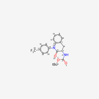 CC(C)(C)OC(=O)NC1Cc2ccccc2N(c2ccc(C(F)(F)F)cc2)C1=O